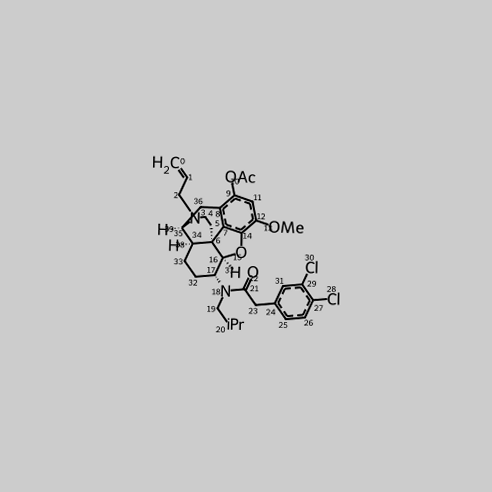 C=CCN1CC[C@]23c4c5c(OC(C)=O)cc(OC)c4O[C@H]2[C@H](N(CC(C)C)C(=O)Cc2ccc(Cl)c(Cl)c2)CC[C@H]3[C@H]1C5